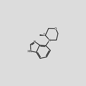 C[C@H]1COCCN1c1cccc2[nH]cnc12